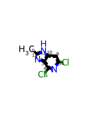 Cc1nc2c(Cl)nc(Cl)cc2[nH]1